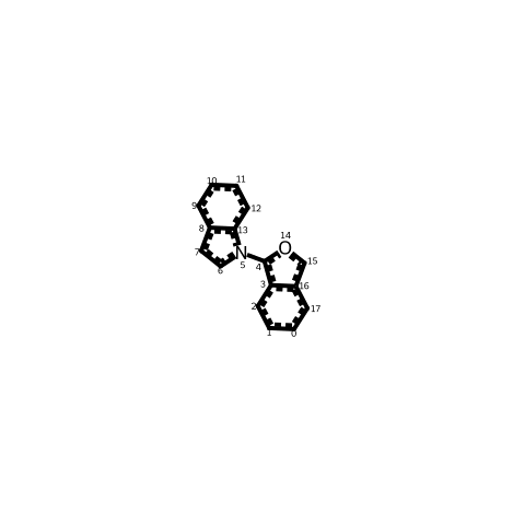 c1ccc2c(-n3ccc4ccccc43)occ2c1